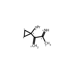 C=C(C(C)=N)C1(CCC)CC1